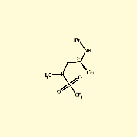 CC(C)N[C@H](CN(C)S(=O)(=O)C(F)(F)F)C(C)(C)C